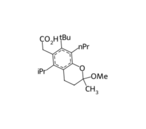 CCCc1c2c(c(C(C)C)c(CC(=O)O)c1C(C)(C)C)CCC(C)(OC)O2